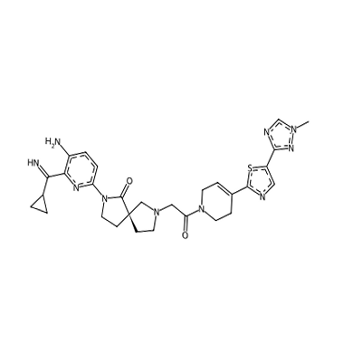 Cn1cnc(-c2cnc(C3=CCN(C(=O)CN4CC[C@]5(CCN(c6ccc(N)c(C(=N)C7CC7)n6)C5=O)C4)CC3)s2)n1